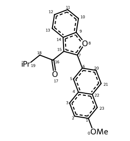 COc1ccc2cc(-c3oc4ccccc4c3C(=O)CC(C)C)ccc2c1